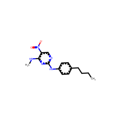 CCCCc1ccc(Nc2ncc([N+](=O)[O-])c(NC)n2)cc1